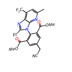 CCc1nc2c(C(F)(F)F)cc(C)nc2n1-c1c(C(=O)OC)cc(CC#N)cc1C(=O)OC